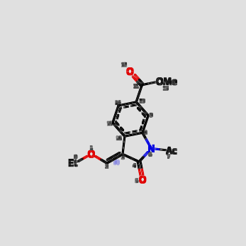 CCO/C=C1/C(=O)N(C(C)=O)c2cc(C(=O)OC)ccc21